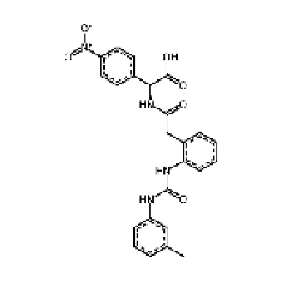 Cc1cccc(NC(=O)Nc2ccccc2CC(=O)N[C@H](C(=O)O)c2ccc([N+](=O)[O-])cc2)c1